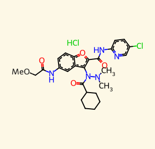 COCC(=O)Nc1ccc2oc(C(=O)Nc3ccc(Cl)cn3)c(N(C(=O)C3CCCCC3)N(C)C)c2c1.Cl